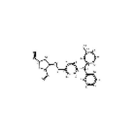 C=CC1CC(C=C)C(OCc2ccc(N(c3ccccc3)c3cccc(C)c3)cc2)C1